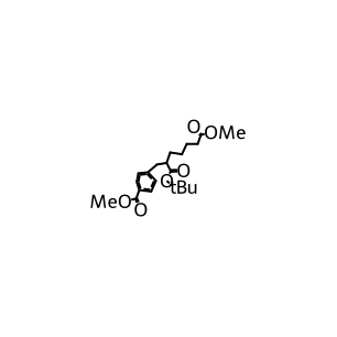 COC(=O)CCCCC(Cc1ccc(C(=O)OC)cc1)C(=O)OC(C)(C)C